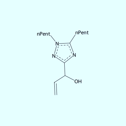 C=CC(O)c1nc(CCCCC)n(CCCCC)n1